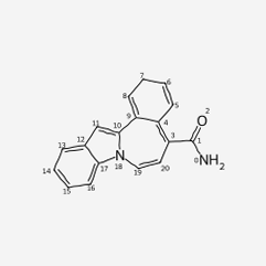 NC(=O)C1=C2C=CCC=C2c2cc3ccccc3n2C=C1